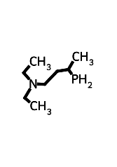 CCN(CC)CCC(C)P